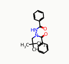 CC(C)(C)CN(NC(=O)c1ccccc1)C(=O)c1ccccc1